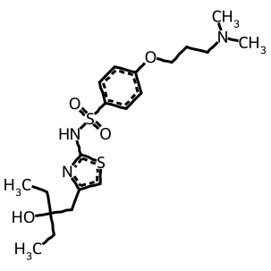 CCC(O)(CC)Cc1csc(NS(=O)(=O)c2ccc(OCCCN(C)C)cc2)n1